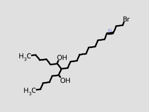 CCCCCC(O)C(CCCCCCCCC/C=C/CCBr)C(O)CCCCC